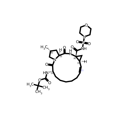 C[C@@H]1C[C@H]2C(=O)N[C@]3(C(=O)NS(=O)(=O)N4CCOCC4)C[C@H]3/C=C\CCCCC[C@H](NC(=O)OC(C)(C)C)C(=O)N2C1